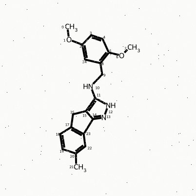 COc1ccc(OC)c(CNc2[nH]nc3c2Cc2ccc(C)cc2-3)c1